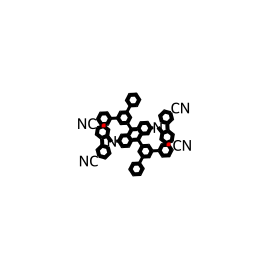 N#Cc1ccc2c(c1)c1cc(C#N)ccc1n2-c1ccc2c(-c3cc(-c4ccccc4)cc(-c4ccccc4)c3)c3cc(-n4c5ccc(C#N)cc5c5cc(C#N)ccc54)ccc3c(-c3cc(-c4ccccc4)cc(-c4ccccc4)c3)c2c1